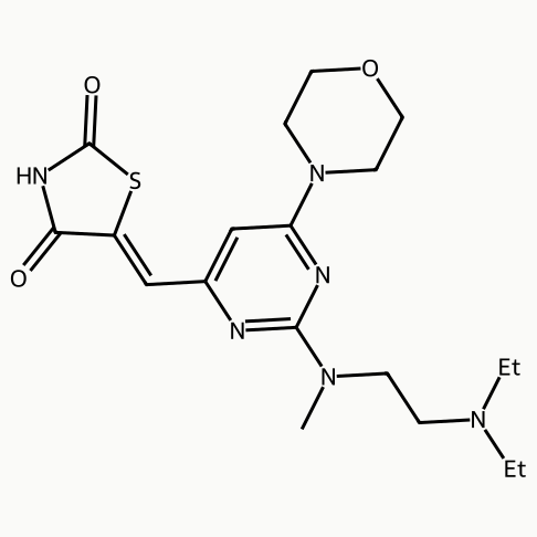 CCN(CC)CCN(C)c1nc(/C=C2\SC(=O)NC2=O)cc(N2CCOCC2)n1